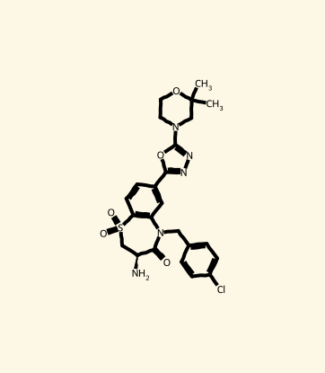 CC1(C)CN(c2nnc(-c3ccc4c(c3)N(Cc3ccc(Cl)cc3)C(=O)[C@@H](N)CS4(=O)=O)o2)CCO1